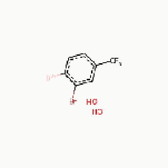 [B+2]c1ccc(C(F)(F)F)cc1Br.[OH-].[OH-]